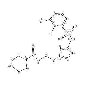 Cc1c(Cl)cccc1S(=O)(=O)Nc1ncc(CCOC(=O)N2CCOCC2)s1